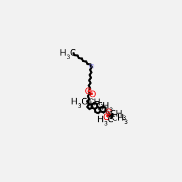 CCCCCCCC/C=C\CCCCCCCCOC(=O)CC[C@@H](C)C1CCC2C3CCC4C[C@H](OC(=O)C(C)(C)C)CC[C@]4(C)C3CC[C@@]21C